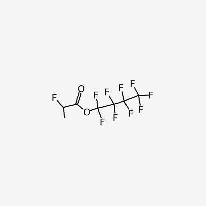 CC(F)C(=O)OC(F)(F)C(F)(F)C(F)(F)C(F)(F)F